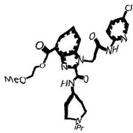 COCCOC(=O)c1cccc2c1nc(C(=O)NC1CCN(C(C)C)CC1)n2CC(=O)Nc1ccc(Cl)cn1